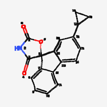 O=C1NC(=O)C2(O1)c1ccccc1-c1ccc(C3CC3)cc12